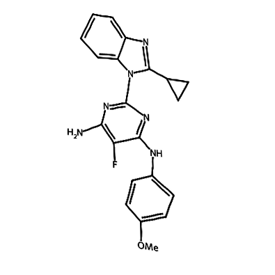 COc1ccc(Nc2nc(-n3c(C4CC4)nc4ccccc43)nc(N)c2F)cc1